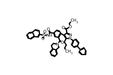 CCCCc1c(-c2ccc(C(=O)NS(=O)(=O)c3ccc4ccccc4c3)cc2C(=O)N2CCc3ccccc3C2)c(C(=O)OCC)nn1-c1ccc(-c2ccccc2)cc1